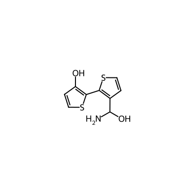 NC(O)c1ccsc1-c1sccc1O